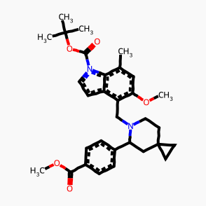 COC(=O)c1ccc(C2CC3(CCN2Cc2c(OC)cc(C)c4c2ccn4C(=O)OC(C)(C)C)CC3)cc1